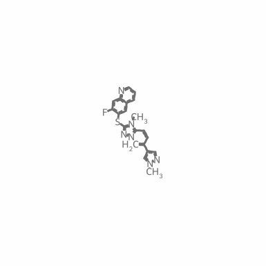 C=C(/C=C\c1nnc(Sc2cc3cccnc3cc2F)n1C)c1cnn(C)c1